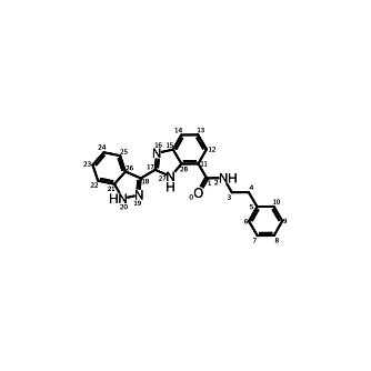 O=C(NCCc1ccccc1)c1cccc2nc(-c3n[nH]c4ccccc34)[nH]c12